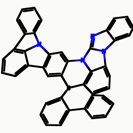 c1ccc(-c2ccccc2B2c3cc4c5cccc6c7ccccc7n(c4cc3-n3c4c2cccc4n2c4ccccc4nc32)c65)cc1